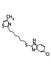 Cc1csc(CCCCCCSc2nc3cc(Cl)ccc3[nH]2)n1